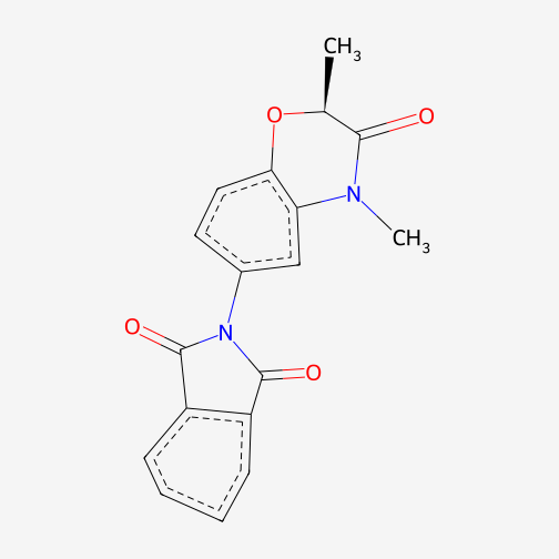 C[C@@H]1Oc2ccc(N3C(=O)c4ccccc4C3=O)cc2N(C)C1=O